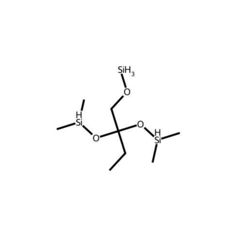 CCC(CO[SiH3])(O[SiH](C)C)O[SiH](C)C